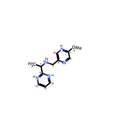 COc1cnc(CNC(C)c2ncccn2)cn1